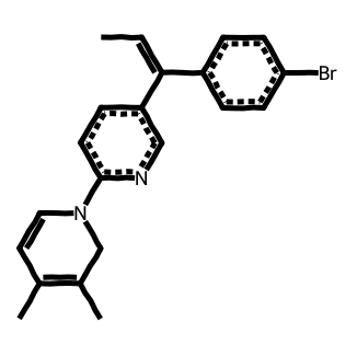 C/C=C(/c1ccc(Br)cc1)c1ccc(N2C=CC(C)=C(C)C2)nc1